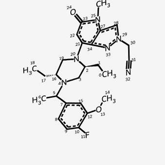 CC[C@H]1CN(C(C)c2ccc(F)c(OC)c2)[C@H](CC)CN1c1cc(=O)n(C)c2cn(CC#N)nc12